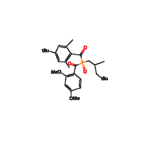 COc1ccc(C(=O)P(=O)(CC(C)CC(C)(C)C)C(=O)c2c(C)cc(C(C)(C)C)cc2C)c(OC)c1